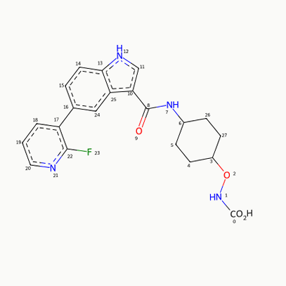 O=C(O)NOC1CCC(NC(=O)c2c[nH]c3ccc(-c4cccnc4F)cc23)CC1